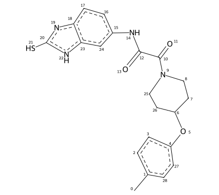 Cc1ccc(OC2CCN(C(=O)C(=O)Nc3ccc4nc(S)[nH]c4c3)CC2)cc1